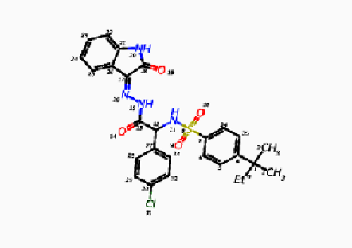 CCC(C)(C)c1ccc(S(=O)(=O)NC(C(=O)NN=C2C(=O)Nc3ccccc32)c2ccc(Cl)cc2)cc1